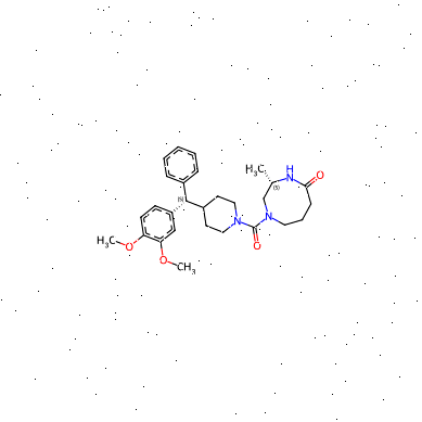 COc1ccc([C@H](c2ccccc2)C2CCN(C(=O)N3CCCC(=O)N[C@@H](C)C3)CC2)cc1OC